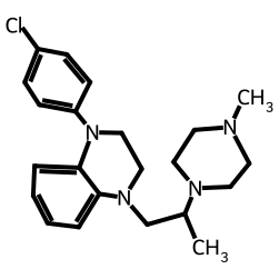 CC(CN1CCN(c2ccc(Cl)cc2)c2ccccc21)N1CCN(C)CC1